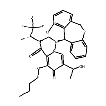 CCCCOc1c2n(cc(C(C)O)c1=O)N([C@@H]1c3ccccc3SCc3cccc(Cl)c31)CN([C@H](C)C(F)(F)F)C2=O